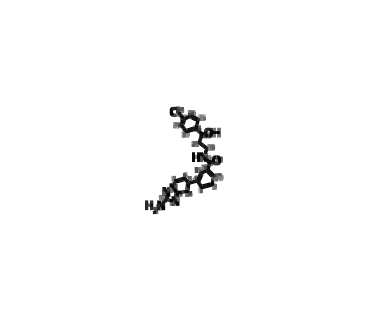 Cc1ccc(-c2ccn3nc(N)nc3c2)cc1C(=O)NCCC(O)c1ccc(Cl)cc1